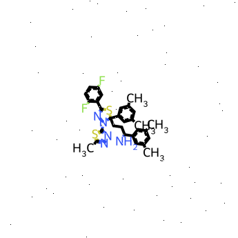 Cc1cc(C)cc(C(N)CCC2(c3cc(C)cc(C)c3)SC(c3cc(F)ccc3F)=NN2c2nnc(C)s2)c1